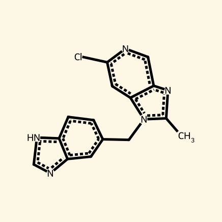 Cc1nc2cnc(Cl)cc2n1Cc1ccc2[nH]cnc2c1